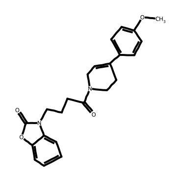 COc1ccc(C2=CCN(C(=O)CCCn3c(=O)oc4ccccc43)CC2)cc1